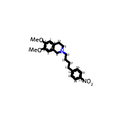 COc1cc2c(cc1OC)CN(CCCCc1ccc([N+](=O)[O-])cc1)CC2